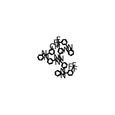 Cc1cccc(-c2nc3ccccc3n2-c2cccc(-c3nc(-c4cccc(-n5c(-c6cccc(C(F)(F)F)c6)nc6ccccc65)c4)nc(-c4cccc(-n5c(-c6cccc(C(F)(F)F)c6)nc6ccccc65)c4)n3)c2)c1